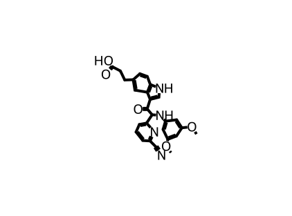 COc1cc(NC(C(=O)c2c[nH]c3ccc(CCC(=O)O)cc23)c2cccc(C#N)n2)cc(OC)c1